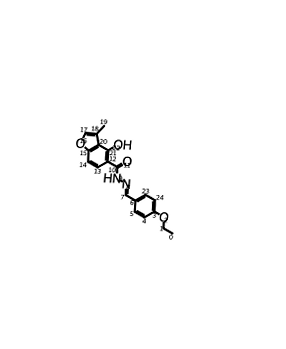 CCOc1ccc(/C=N/NC(=O)c2ccc3occ(C)c3c2O)cc1